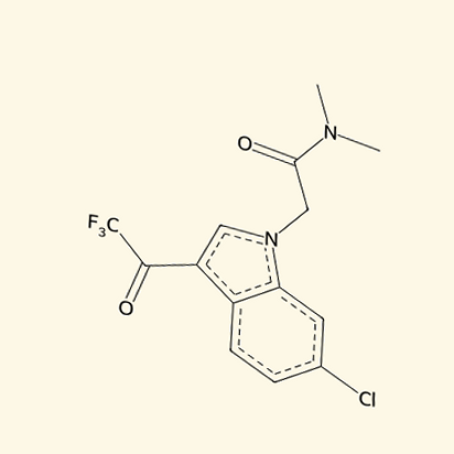 CN(C)C(=O)Cn1cc(C(=O)C(F)(F)F)c2ccc(Cl)cc21